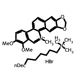 Br.CCCCCCCCCCCCCCCC[N+](C)(C)C.COc1ccc2c(c[n+](C)c3c4cc5c(cc4ccc23)OCO5)c1OC